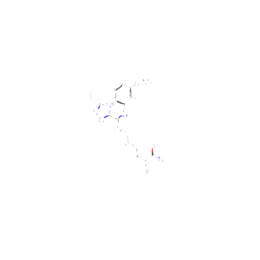 CCc1nnc2c(NCCCCC(C(N)=O)C(C)C)nc3cc(OC)ccc3n12